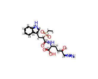 CCS(=O)(=O)C(Cc1c[nH]c2ccccc12)C(=O)NC(CCC(=O)C=[N+]=[N-])C(=O)O